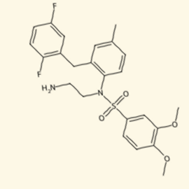 COc1ccc(S(=O)(=O)N(CCN)c2ccc(C)cc2Cc2cc(F)ccc2F)cc1OC